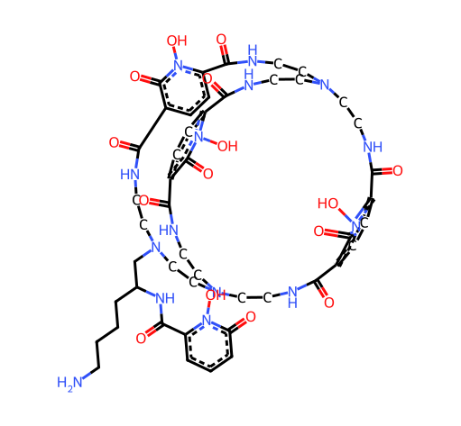 NCCCCC(CN1CCNC(=O)c2ccc(n(O)c2=O)C(=O)NCCN2CCNC(=O)c3ccc(c(=O)n3O)C(=O)NCCN(CCNC(=O)c3ccc(n(O)c3=O)C(=O)NCC2)CC1)NC(=O)c1cccc(=O)n1O